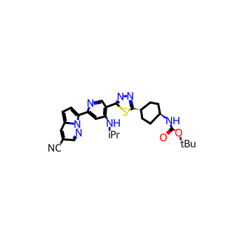 CC(C)Nc1cc(-c2ccc3cc(C#N)cnn23)ncc1-c1nnc([C@H]2CC[C@H](NC(=O)OC(C)(C)C)CC2)s1